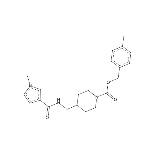 Cc1ccc(COC(=O)N2CCC(CNC(=O)c3ccn(C)c3)CC2)cc1